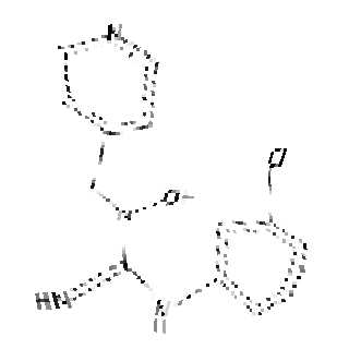 N=C(Nc1cccc(Cl)c1)N(O)Cc1ccncc1